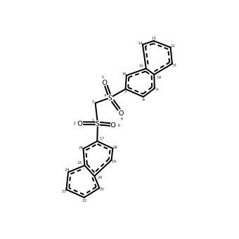 O=S(=O)(CS(=O)(=O)c1ccc2ccccc2c1)c1ccc2ccccc2c1